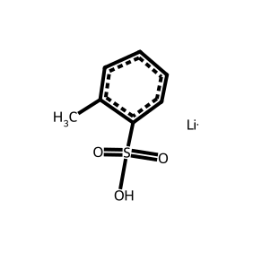 Cc1ccccc1S(=O)(=O)O.[Li]